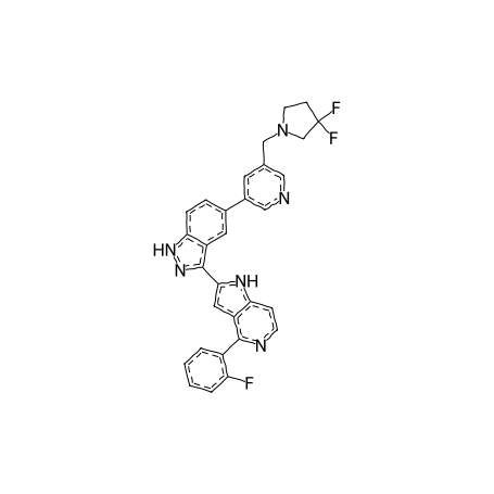 Fc1ccccc1-c1nccc2[nH]c(-c3n[nH]c4ccc(-c5cncc(CN6CCC(F)(F)C6)c5)cc34)cc12